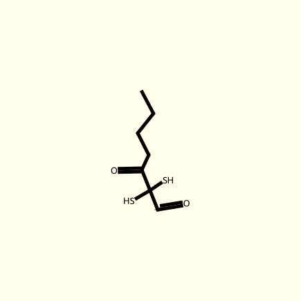 CCCCC(=O)C(S)(S)[C]=O